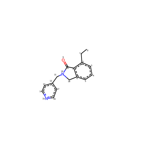 CCc1cccc2c1C(=O)N(Cc1ccncc1)C2